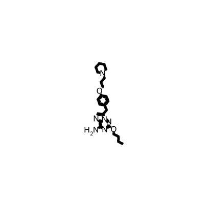 CCCCOc1nc(N)c2ncc(Cc3ccc(OCCCN4CCCCC4)cc3)n2n1